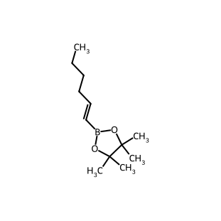 CCCC/C=C/B1OC(C)(C)C(C)(C)O1